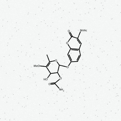 COC1=C(C)OC(Oc2ccc3cc(NC(C)=O)c(=O)oc3c2)C(OC(N)=O)C1O